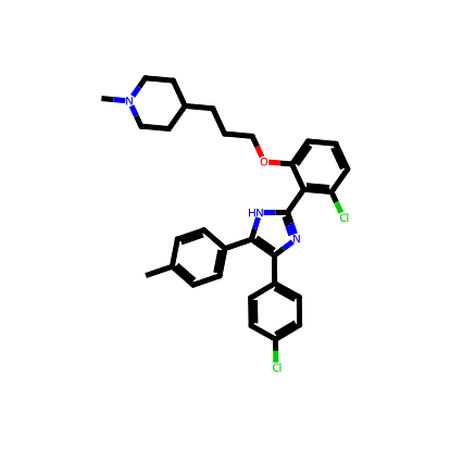 Cc1ccc(-c2[nH]c(-c3c(Cl)cccc3OCCCC3CCN(C)CC3)nc2-c2ccc(Cl)cc2)cc1